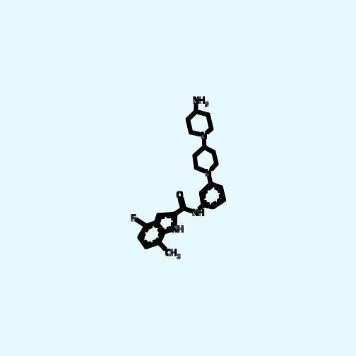 Cc1ccc(F)c2cc(C(=O)Nc3cccc(N4CCC(N5CCC(N)CC5)CC4)c3)[nH]c12